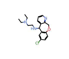 CCN(CC)CCNC1c2cc(Cl)ccc2OCc2ncccc21